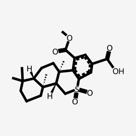 COC(=O)c1cc(C(=O)O)cc2c1[C@]1(C)CC[C@H]3C(C)(C)CCC[C@]3(C)[C@H]1CS2(=O)=O